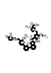 COc1nc(-c2cccc(-c3cccc4c3CC[C@@H]4Nc3nc(OC)c(CN4CC[C@@](C)(C(=O)O)C4)cc3C(F)(F)F)c2Cl)ccc1CNC[C@@H]1CCC(=O)N1